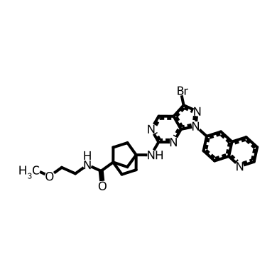 COCCNC(=O)C12CCC(Nc3ncc4c(Br)nn(-c5ccc6ncccc6c5)c4n3)(CC1)C2